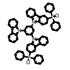 O=P(c1ccccc1)(c1ccccc1)c1ccc2c(c1)c1ccccc1n2-c1cc(-n2c3ccccc3c3ccccc32)cc(-n2c3ccccc3c3cc(P(=O)(c4ccccc4)c4ccccc4)ccc32)c1